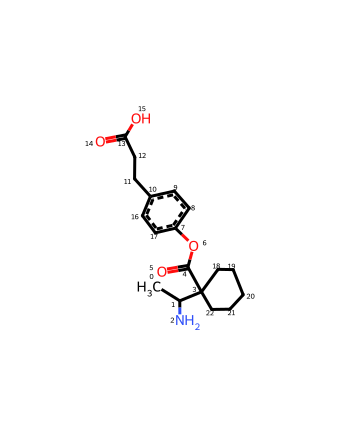 CC(N)C1(C(=O)Oc2ccc(CCC(=O)O)cc2)CCCCC1